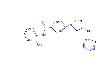 Nc1ccccc1NC(=O)c1ccc(N2CC[C@H](Nc3cccnc3)C2)cc1